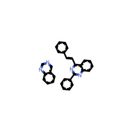 C(=Cc1nc(-c2ccccc2)nc2ccccc12)c1ccccc1.c1ccc2ncncc2c1